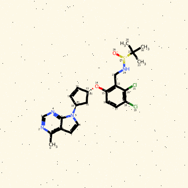 Cc1ncnc2c1ccn2[C@H]1C=C[C@H](Oc2ccc(Cl)c(Cl)c2CN[S+]([O-])C(C)(C)C)C1